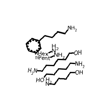 CCCCCCN.CCCCCN.NCCCCCCO.NCCCCCO.NCCCCO.NCCCCc1ccccc1